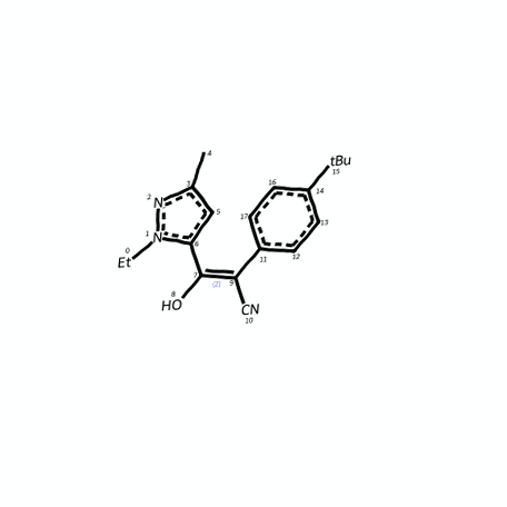 CCn1nc(C)cc1/C(O)=C(/C#N)c1ccc(C(C)(C)C)cc1